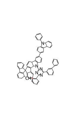 CC1CC=CC2=C1C1(C3=C(c4ccccc41)C1C(C=C3)c3cc(-c4ccc5c(c4)C4C=CC=CC4N5c4ccccc4)ccc3N1c1nc(-c3ccccc3)nc(-c3cccc(-c4ccccc4)c3)n1)c1ccccc12